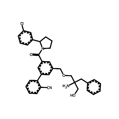 N#Cc1ccccc1-c1cc(COCC(N)(CO)Cc2ccccc2)cc(C(=O)N2CCCC2c2cccc(Cl)c2)c1